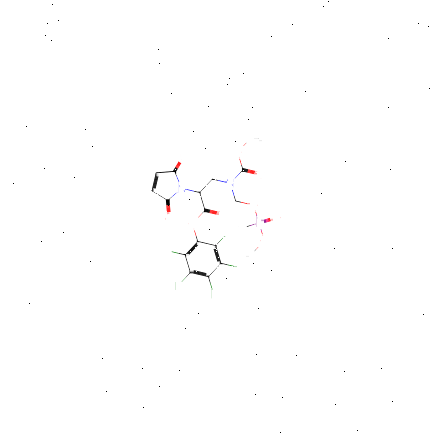 CC(C)(C)OC(=O)N(COP(C)(=O)OC(C)(C)C)CC(C(=O)Oc1c(F)c(F)c(F)c(F)c1F)N1C(=O)C=CC1=O